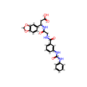 O=C(O)CC(NC(=O)CNC(=O)c1cccc(NC(=O)Nc2ccccc2)c1)c1ccc2c(c1)OCO2